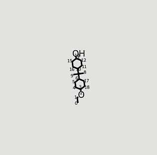 CCOC1CCC(C(C)(C)C2CCC(O)CC2)CC1